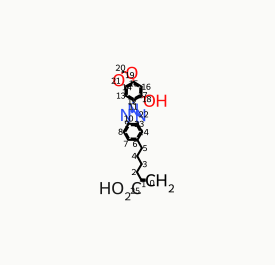 C=C(CCCCc1ccc2nn(-c3cc4c(cc3O)OCO4)nc2c1)C(=O)O